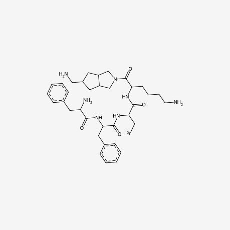 CC(C)CC(NC(=O)C(Cc1ccccc1)NC(=O)C(N)Cc1ccccc1)C(=O)NC(CCCCN)C(=O)N1CC2CC(CN)CC2C1